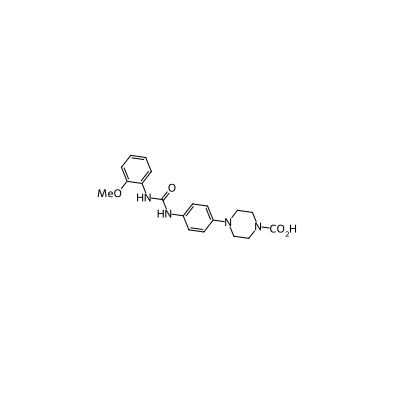 COc1ccccc1NC(=O)Nc1ccc(N2CCN(C(=O)O)CC2)cc1